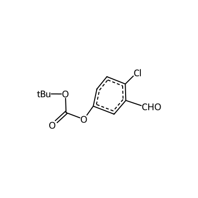 CC(C)(C)OC(=O)Oc1ccc(Cl)c(C=O)c1